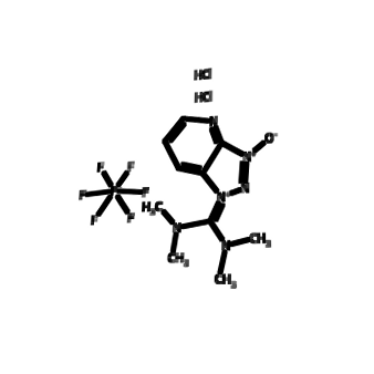 CN(C)C(N(C)C)=[N+]1N=[N+]([O-])c2ncccc21.Cl.Cl.F[P-](F)(F)(F)(F)F